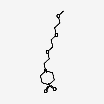 COCCOCCOCCN1CCS(=O)(=O)CC1